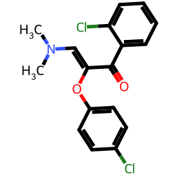 CN(C)/C=C(\Oc1ccc(Cl)cc1)C(=O)c1ccccc1Cl